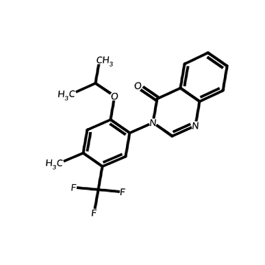 Cc1cc(OC(C)C)c(-n2cnc3ccccc3c2=O)cc1C(F)(F)F